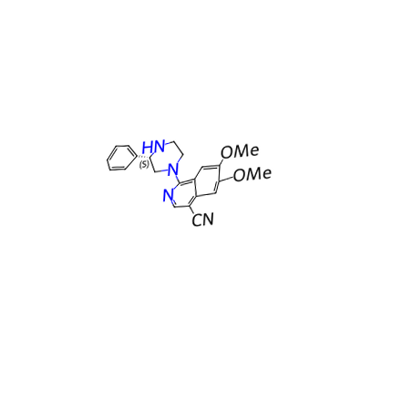 COc1cc2c(C#N)cnc(N3CCN[C@@H](c4ccccc4)C3)c2cc1OC